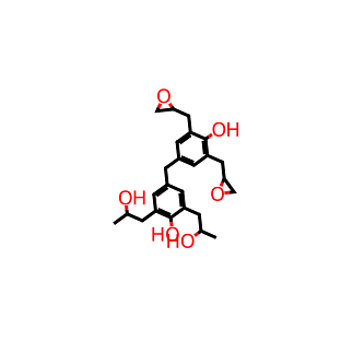 CC(O)Cc1cc(Cc2cc(CC3CO3)c(O)c(CC3CO3)c2)cc(CC(C)O)c1O